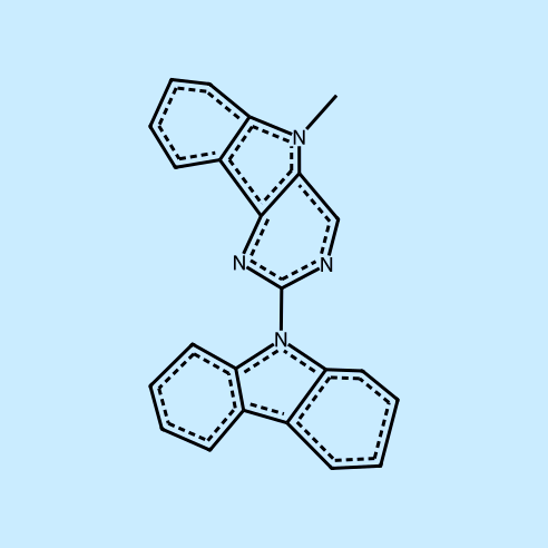 Cn1c2ccccc2c2nc(-n3c4ccccc4c4ccccc43)ncc21